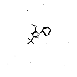 COc1cc(C(C)(C)C)nn1-c1ccccc1